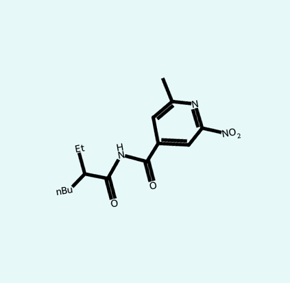 CCCCC(CC)C(=O)NC(=O)c1cc(C)nc([N+](=O)[O-])c1